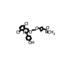 COC(=O)C1CC(OCCOc2cc3c(Cl)ccc(Cl)c3nc2-c2ccc(O)cc2)C1